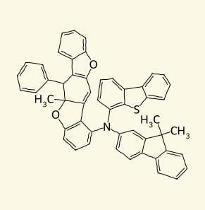 CC1(C)c2ccccc2-c2ccc(N(c3cccc4c3C3=Cc5oc6ccccc6c5C(c5ccccc5)C3(C)O4)c3cccc4c3sc3ccccc34)cc21